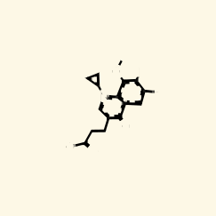 COc1c(F)c(F)cc2c(=O)c(CCC(=O)O)cn(C3CC3)c12